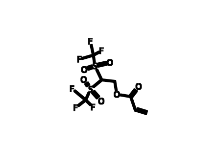 C=CC(=O)OCC(S(=O)(=O)C(F)(F)F)S(=O)(=O)C(F)(F)F